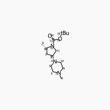 C[C@H]1C[C@@H](N2CCN(C)CC2)CN1C(=O)OC(C)(C)C